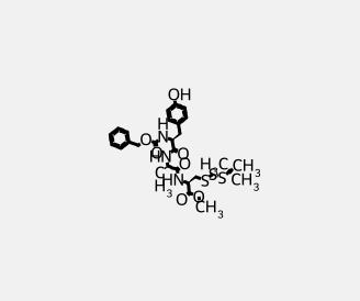 COC(=O)[C@H](CSSSC(C)(C)C)NC(=O)[C@H](C)NC(=O)[C@H](Cc1ccc(O)cc1)NC(=O)OCc1ccccc1